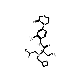 NC[C@H](C(=O)Nc1ccc(N2CCOCC2=O)cc1C(F)(F)F)N(CC(F)F)CC1CCC1